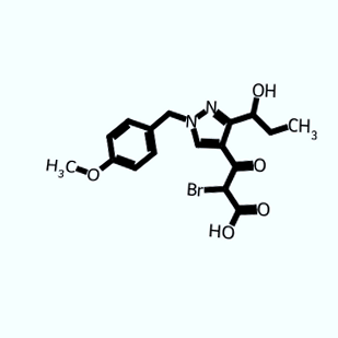 CCC(O)c1nn(Cc2ccc(OC)cc2)cc1C(=O)C(Br)C(=O)O